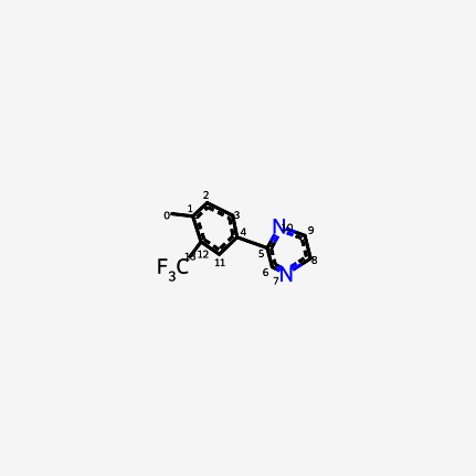 Cc1ccc(-c2cnccn2)cc1C(F)(F)F